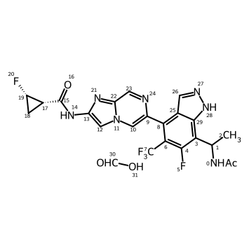 CC(=O)NC(C)c1c(F)c(C(F)(F)F)c(-c2cn3cc(NC(=O)[C@@H]4C[C@@H]4F)nc3cn2)c2cn[nH]c12.O=CO